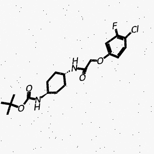 CC(C)(C)OC(=O)N[C@H]1CC[C@H](NC(=O)COc2ccc(Cl)c(F)c2)CC1